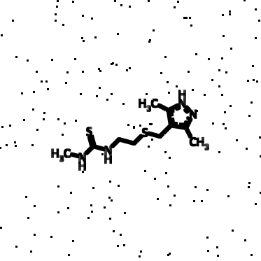 CNC(=S)NCCSCc1c(C)n[nH]c1C